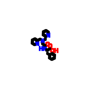 O=C(CN(Cc1ccccn1)Cc1ccccn1)N[C@@H](Cc1ccccc1)C(=O)O